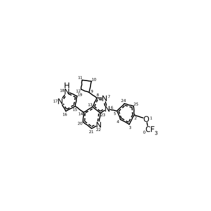 FC(F)(F)Oc1ccc(-n2nc(C3CCC3)c3c(-c4cn[nH]c4)ccnc32)cc1